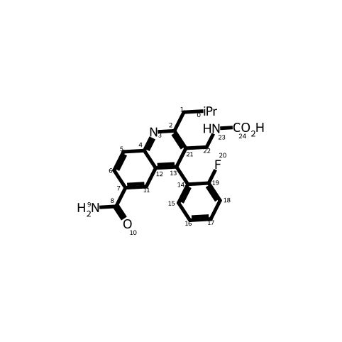 CC(C)Cc1nc2ccc(C(N)=O)cc2c(-c2ccccc2F)c1CNC(=O)O